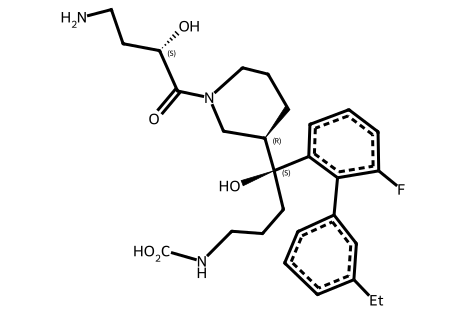 CCc1cccc(-c2c(F)cccc2[C@](O)(CCCNC(=O)O)[C@@H]2CCCN(C(=O)[C@@H](O)CCN)C2)c1